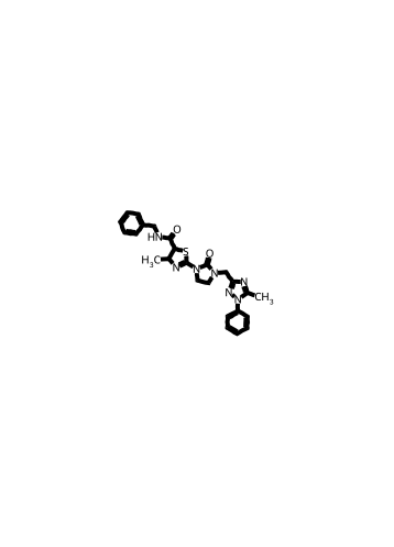 Cc1nc(CN2CCN(C3=NC(C)C(C(=O)NCc4ccccc4)S3)C2=O)nn1-c1ccccc1